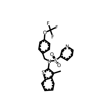 Cc1c(N(Cc2ccc(OC(F)(F)F)cc2)S(=O)(=O)c2cccnc2)sc2ccccc12